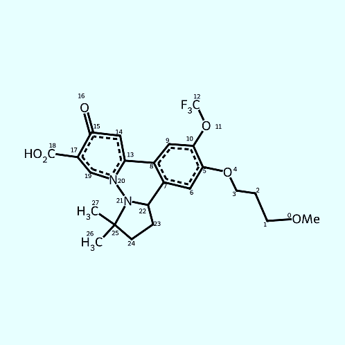 COCCCOc1cc2c(cc1OC(F)(F)F)-c1cc(=O)c(C(=O)O)cn1N1C2CCC1(C)C